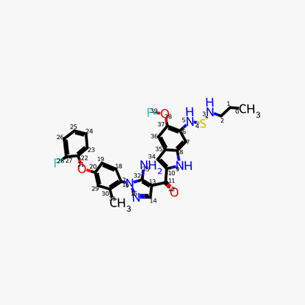 CCCNSNc1cc2[nH]c(C(=O)c3cnn(-c4ccc(Oc5ccccc5F)cc4C)c3N)cc2cc1OF